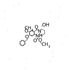 CCOC(=O)Nc1cc(OCc2ccccc2)c(OC)cc1C(=O)N1CCCC[C@H]1CO